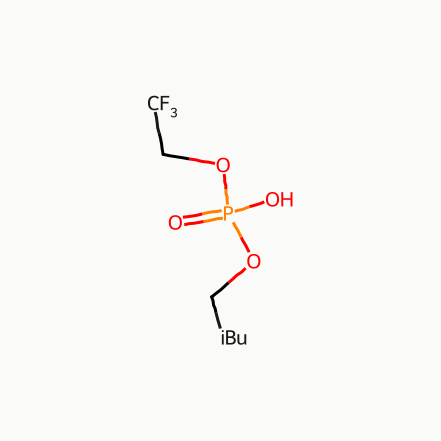 CCC(C)COP(=O)(O)OCC(F)(F)F